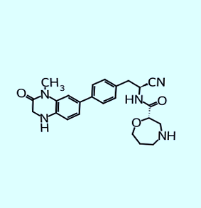 CN1C(=O)CNc2ccc(-c3ccc(C[C@@H](C#N)NC(=O)[C@@H]4CNCCCO4)cc3)cc21